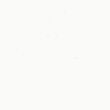 CN1CN2C(=O)CCCCC/C=C/CCOc3cc(F)ccc3CNC(=O)c3cn2c(c(O)c3=O)C1=O